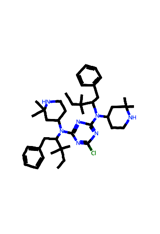 CCC(C)(C)C(Cc1ccccc1)N(c1nc(Cl)nc(N(C2CCNC(C)(C)C2)C(Cc2ccccc2)C(C)(C)CC)n1)C1CCNC(C)(C)C1